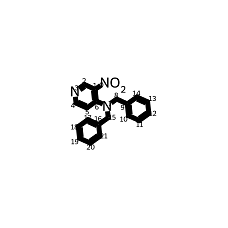 O=[N+]([O-])c1cnccc1N(Cc1ccccc1)Cc1ccccc1